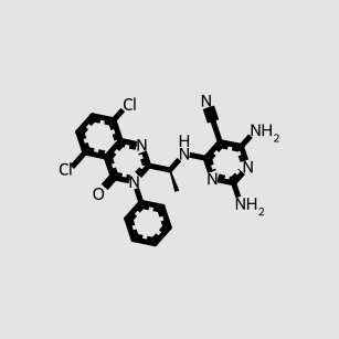 C[C@H](Nc1nc(N)nc(N)c1C#N)c1nc2c(Cl)ccc(Cl)c2c(=O)n1-c1ccccc1